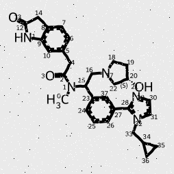 CN(C(=O)Cc1ccc2c(c1)NC(=O)C2)C(CN1CC[C@H](O)C1)c1cccc(-c2nccn2CC2CC2)c1